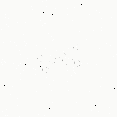 CC1(C)c2ccccc2N2c3ccc(-c4cccc5c(N(c6ccccc6)c6ccc7ccccc7c6)cccc45)cc3C(C)(C)c3cccc1c32